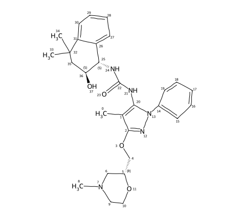 Cc1c(OC[C@H]2CN(C)CCO2)nn(-c2ccccc2)c1NC(=O)N[C@H]1c2ccccc2C(C)(C)C[C@@H]1O